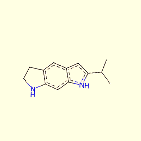 CC(C)c1cc2cc3c(cc2[nH]1)NCC3